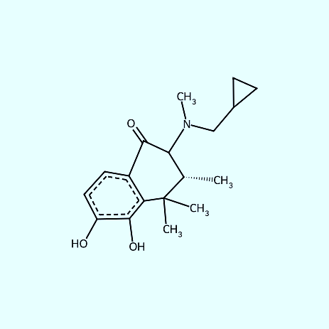 C[C@H]1C(N(C)CC2CC2)C(=O)c2ccc(O)c(O)c2C1(C)C